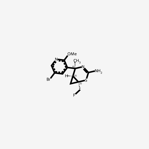 COc1ncc(Br)cc1[C@@]1(C)N=C(N)S[C@@]2(CF)C[C@H]21